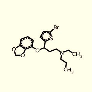 CCCN(CC)CCC(Oc1cccc2c1OCO2)c1ccc(Br)s1